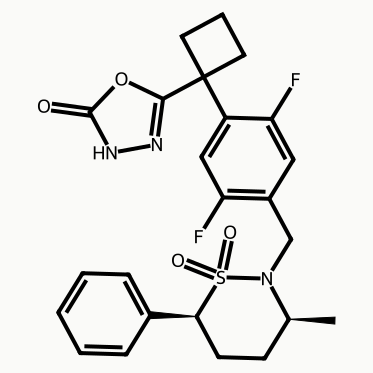 C[C@H]1CC[C@@H](c2ccccc2)S(=O)(=O)N1Cc1cc(F)c(C2(c3n[nH]c(=O)o3)CCC2)cc1F